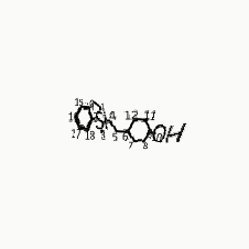 CC[Si](C)(CCC1CCC(O)CC1)c1ccccc1